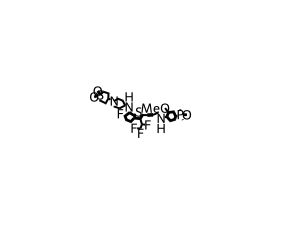 COc1cc(P(C)(C)=O)ccc1NCC#Cc1sc2c(NC3CCN(C4CCS(=O)(=O)CC4)CC3F)cccc2c1C(F)C(F)F